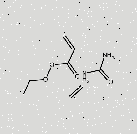 C=C.C=CC(=O)OOCC.NC(N)=O